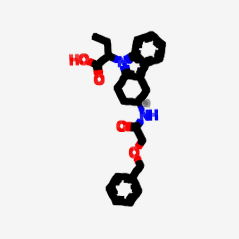 CCC(C(=O)O)n1c2c(c3ccccc31)C[C@@H](NC(=O)COCc1ccccc1)CC2